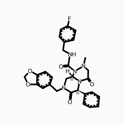 CN1CC(=O)N2[C@@H](c3ccccc3)C(=O)N(Cc3ccc4c(c3)OCO4)C[C@@H]2N1C(=O)NCc1ccc(F)cc1